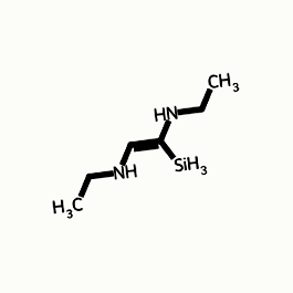 CCNC=C([SiH3])NCC